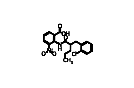 CCCC(Cc1ccccc1Cl)C(=O)Nc1c(C(=O)O)cccc1[N+](=O)[O-]